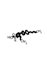 C=CCCCC1CCC(c2ccc(-c3ccc(NC(=O)O)cc3CCC)cc2)CC1